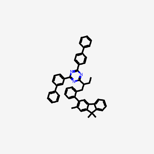 CCC(Cc1ccccc1-c1cc2c(cc1C)C(C)(C)c1ccccc1-2)c1nc(-c2ccc(-c3ccccc3)cc2)nc(-c2cccc(-c3ccccc3)c2)n1